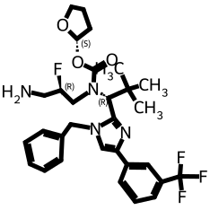 CC(C)(C)[C@H](c1nc(-c2cccc(C(F)(F)F)c2)cn1Cc1ccccc1)N(C[C@H](F)CN)C(=O)O[C@H]1CCCO1